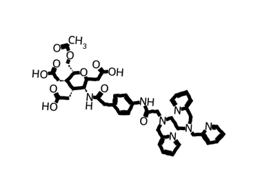 CC(=O)OC[C@@H]1OC(CC(=O)O)[C@H](NC(=O)Cc2ccc(NC(=O)CN(CCN(Cc3ccccn3)Cc3ccccn3)Cc3ccccn3)cc2)[C@H](CC(=O)O)[C@@H]1CC(=O)O